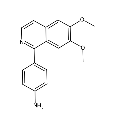 COc1cc2ccnc(-c3ccc(N)cc3)c2cc1OC